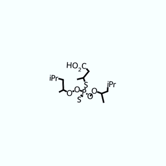 CC(C)CC(C)OOP(=S)(OOC(C)CC(C)C)SC(C)CC(=O)O